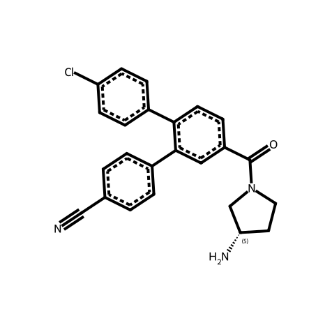 N#Cc1ccc(-c2cc(C(=O)N3CC[C@H](N)C3)ccc2-c2ccc(Cl)cc2)cc1